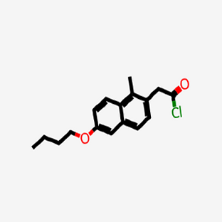 CCCCOc1ccc2c(C)c(CC(=O)Cl)ccc2c1